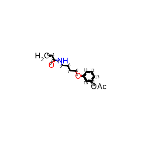 C=CC(=O)NCCCCOc1cccc(OC(C)=O)c1